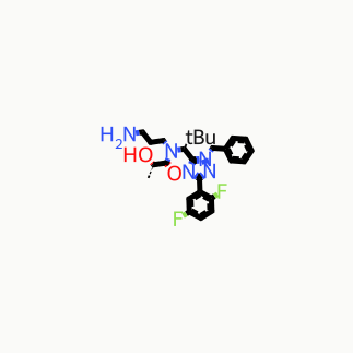 C[C@H](O)C(=O)N(CCCN)[C@@H](c1nc(-c2cc(F)ccc2F)nn1Cc1ccccc1)C(C)(C)C